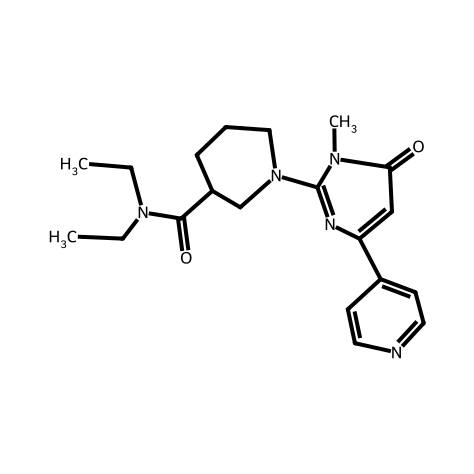 CCN(CC)C(=O)C1CCCN(c2nc(-c3ccncc3)cc(=O)n2C)C1